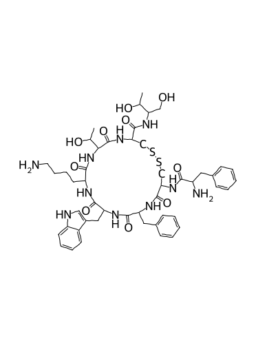 CC(O)C(CO)NC(=O)C1CSSCC(NC(=O)C(N)Cc2ccccc2)C(=O)NC(Cc2ccccc2)C(=O)NC(Cc2c[nH]c3ccccc23)C(=O)NC(CCCCN)C(=O)NC(C(C)O)C(=O)N1